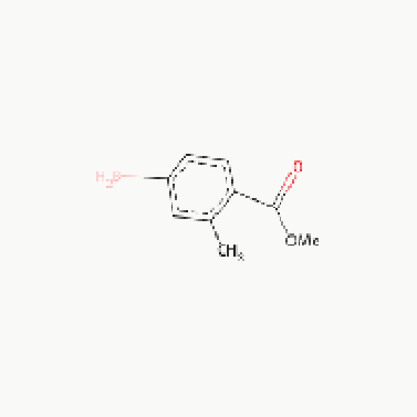 Bc1ccc(C(=O)OC)c(C)c1